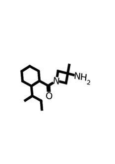 CCC(C)C1CCCCC1C(=O)N1CC(C)(N)C1